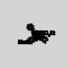 CCOC(=O)Oc1cn(Cc2ccccc2OC)c2sc(-c3ccc(OC)cc3)c(CNCCc3ccccc3)c2c1=O